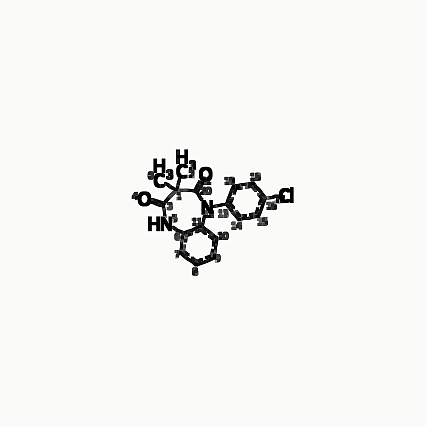 CC1(C)C(=O)Nc2ccccc2N(c2ccc(Cl)cc2)C1=O